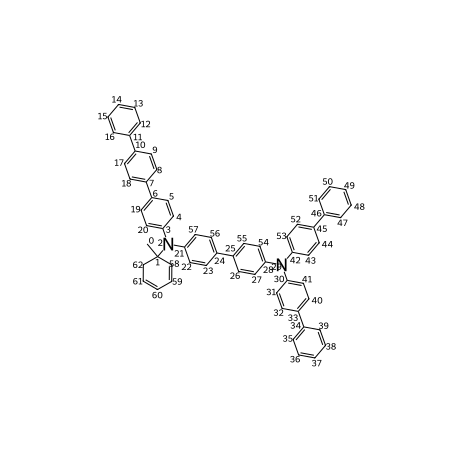 CC1(N(c2ccc(-c3ccc(-c4ccccc4)cc3)cc2)c2ccc(-c3ccc(N(c4ccc(-c5ccccc5)cc4)c4ccc(-c5ccccc5)cc4)cc3)cc2)C=CC=CC1